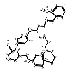 COc1ccccc1COCCCOc1ccc(N2C(=O)CNC[C@@H]2COc2ccc3c(c2)N(CCOC(C)=O)CCC3)cc1